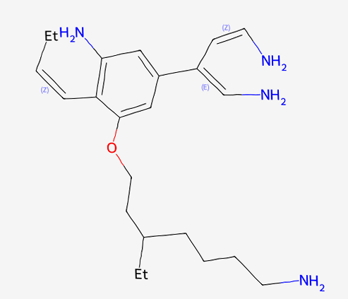 CC/C=C\c1c(N)cc(C(/C=C\N)=C/N)cc1OCCC(CC)CCCCN